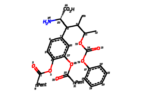 CCCCCC(=O)Oc1ccc(C(C(C)C(C)OC(=O)Oc2ccccc2)[C@H](N)C(=O)O)cc1OC(=O)CCCCC